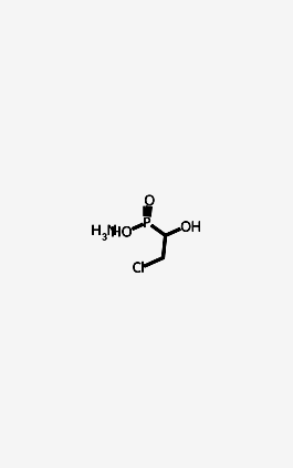 N.O=[PH](O)C(O)CCl